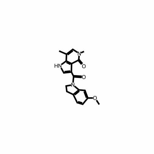 COc1ccc2c(c1)N(C(=O)c1c[nH]c3c(C)cn(C)c(=O)c13)CC2